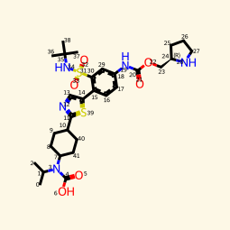 CC(C)N(C(=O)O)C1CCC(c2ncc(-c3ccc(NC(=O)OC[C@H]4CCCN4)cc3S(=O)(=O)NC(C)(C)C)s2)CC1